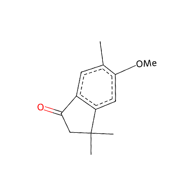 COc1cc2c(cc1C)C(=O)CC2(C)C